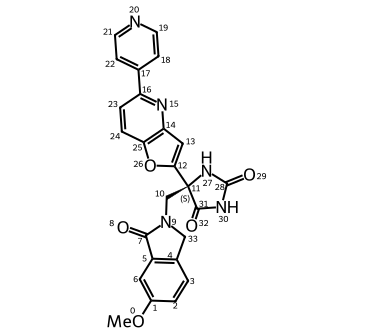 COc1ccc2c(c1)C(=O)N(C[C@@]1(c3cc4nc(-c5ccncc5)ccc4o3)NC(=O)NC1=O)C2